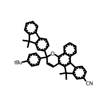 CC(C)(C)c1ccc(C2(c3ccc4c(c3)C(C)(C)c3ccccc3-4)C=Cc3c4c(c5ccccc5c3O2)-c2ccc(C#N)cc2C4(C)C)cc1